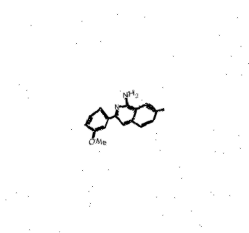 COc1cccc(-c2cc3ccc(C)cc3c(N)n2)c1